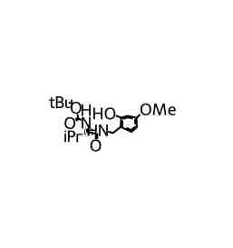 COc1ccc(CNC(=O)[C@@H](NC(=O)OC(C)(C)C)C(C)C)c(O)c1